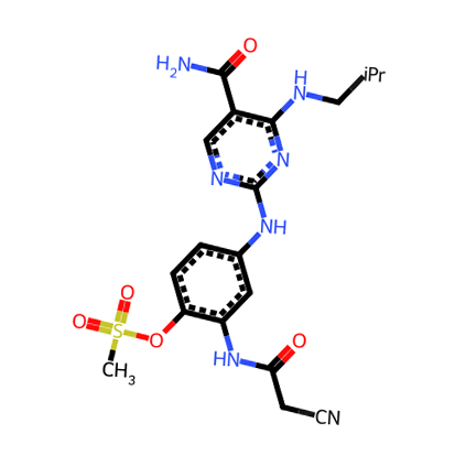 CC(C)CNc1nc(Nc2ccc(OS(C)(=O)=O)c(NC(=O)CC#N)c2)ncc1C(N)=O